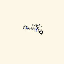 CC(C)CCC(CCc1ccccc1)CNCCCCCCCN1CCCCC1